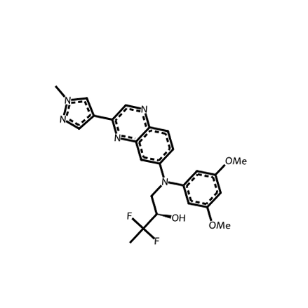 COc1cc(OC)cc(N(C[C@@H](O)C(C)(F)F)c2ccc3ncc(-c4cnn(C)c4)nc3c2)c1